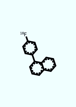 [18F]c1ccc(-c2cccc3ccccc23)cc1